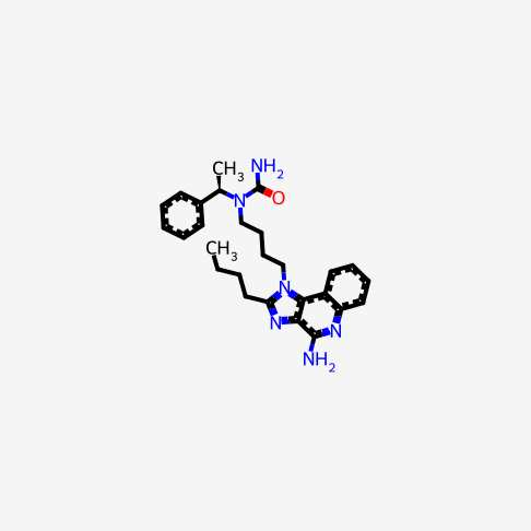 CCCCc1nc2c(N)nc3ccccc3c2n1CCCCN(C(N)=O)[C@H](C)c1ccccc1